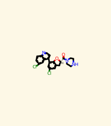 O=C([C@@H]1Cc2cc(Cl)cc(-c3ccnc4ccc(Cl)cc34)c2O1)N1CCNCC1